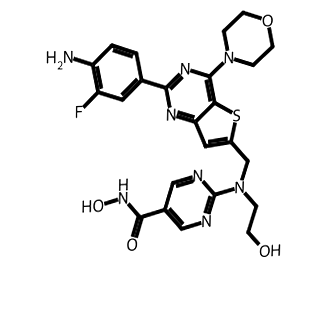 Nc1ccc(-c2nc(N3CCOCC3)c3sc(CN(CCO)c4ncc(C(=O)NO)cn4)cc3n2)cc1F